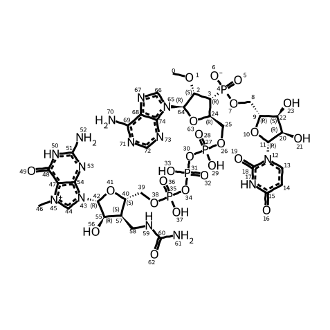 CO[C@@H]1[C@H](P(=O)([O-])OC[C@H]2O[C@@H](n3ccc(=O)[nH]c3=O)[C@H](O)[C@@H]2O)[C@@H](COP(=O)(O)OP(=O)(O)OP(=O)(O)OC[C@H]2O[C@@H](n3c[n+](C)c4c(=O)[nH]c(N)nc43)[C@H](O)[C@@H]2CNC(N)=O)O[C@H]1n1cnc2c(N)ncnc21